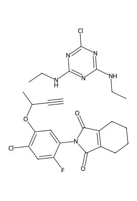 C#CC(C)Oc1cc(N2C(=O)C3=C(CCCC3)C2=O)c(F)cc1Cl.CCNc1nc(Cl)nc(NCC)n1